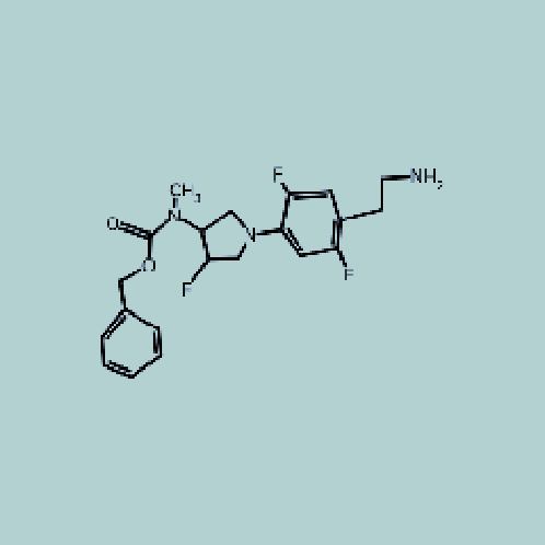 CN(C(=O)OCc1ccccc1)C1CN(c2cc(F)c(CCN)cc2F)CC1F